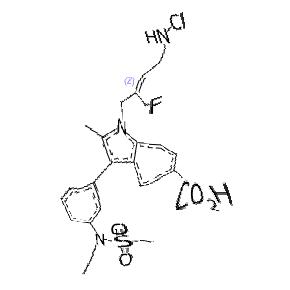 Cc1c(-c2cccc(N(C)S(C)(=O)=O)c2)c2cc(C(=O)O)ccc2n1C/C(F)=C/CNCl